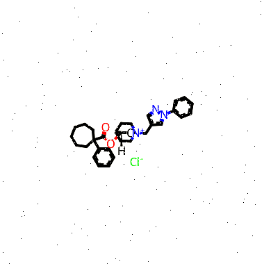 O=C(O[C@H]1C[N+]2(Cc3cnn(-c4ccccc4)c3)CCC1CC2)C1(c2ccccc2)CCCCCC1.[Cl-]